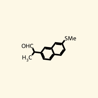 CSc1ccc2ccc(C(C)C=O)cc2c1